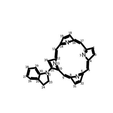 C1=CC2=NC1=CC1=NC(=CC3=NC(=CC4=NC(=C2)C=C4)C=C3N2CCc3ccccc32)C=C1